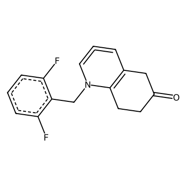 O=C1CCC2=C(C=C=CN2Cc2c(F)cccc2F)C1